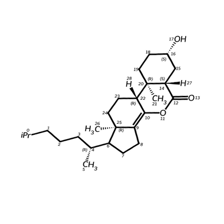 CC(C)CCC[C@@H](C)C1CCC2=C3OC(=O)[C@H]4C[C@@H](O)CC[C@]4(C)[C@H]3CC[C@@]21C